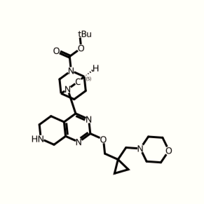 CC(C)(C)OC(=O)N1CC2CC[C@H]1CN2c1nc(OCC2(CN3CCOCC3)CC2)nc2c1CCNC2